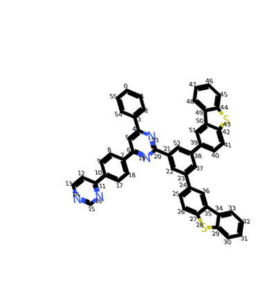 c1ccc(-c2cc(-c3ccc(-c4ccncn4)cc3)nc(-c3cc(-c4ccc5sc6ccccc6c5c4)cc(-c4ccc5sc6ccccc6c5c4)c3)n2)cc1